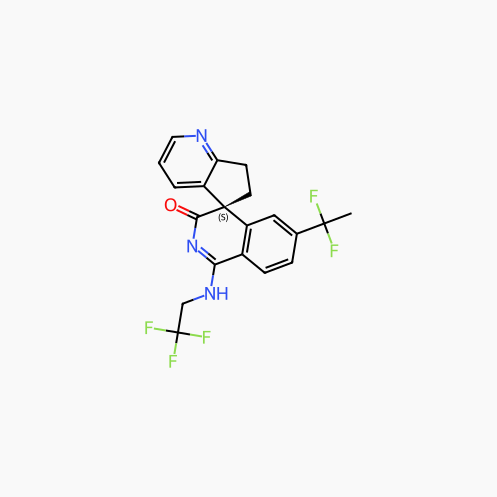 CC(F)(F)c1ccc2c(c1)[C@]1(CCc3ncccc31)C(=O)N=C2NCC(F)(F)F